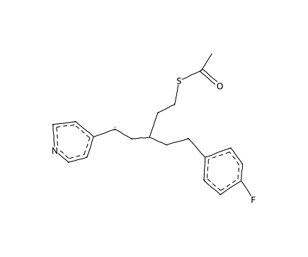 CC(=O)SCCC(C[CH]c1ccncc1)CCc1ccc(F)cc1